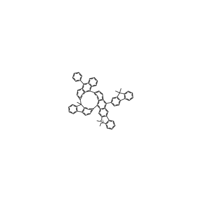 CC1(C)c2ccccc2-c2ccc(-c3c4ccc5cc4c(c4cc6c(cc34)-c3ccccc3[Si]6(C)C)-c3ccc4c(c3)C(C)(c3ccc6c(-c7ccccc7)c7ccccc7c-5c6c3)c3ccccc3-4)cc21